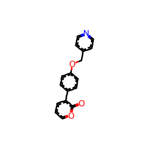 O=c1occcc1-c1ccc(OCc2ccncc2)cc1